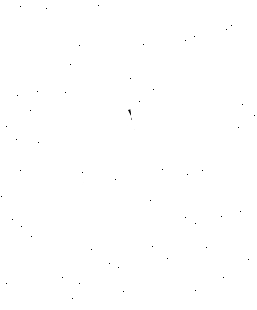 CC/C=C(/SC)C(C)(C)C[C@@](C)(CC)CCC